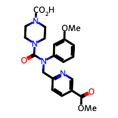 COC(=O)c1ccc(CN(C(=O)N2CCN(C(=O)O)CC2)c2cccc(OC)c2)nc1